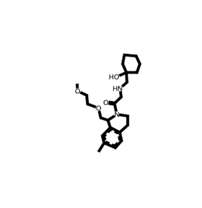 COCCOCC1c2cc(C)ccc2CCN1C(=O)CNCC1(O)CCCCC1